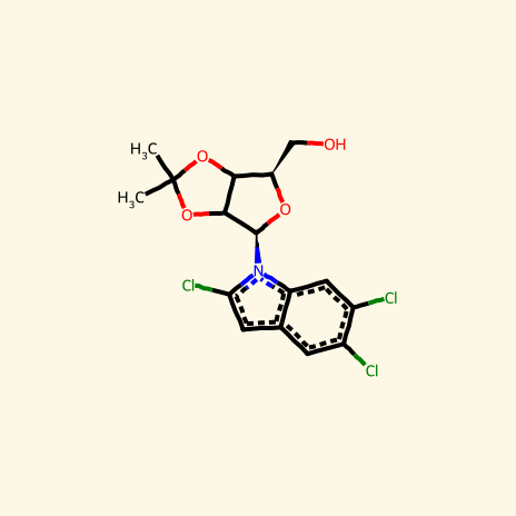 CC1(C)OC2C(O1)[C@@H](CO)O[C@H]2n1c(Cl)cc2cc(Cl)c(Cl)cc21